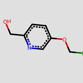 OCc1ccc(OCF)cn1